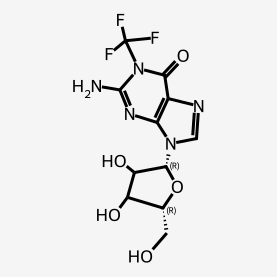 Nc1nc2c(ncn2[C@@H]2O[C@H](CO)C(O)C2O)c(=O)n1C(F)(F)F